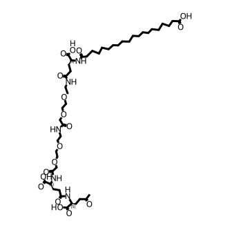 CC(=O)CC[C@H](NC(=O)CC[C@H](NC(=O)COCCOCCNC(=O)COCCOCCNC(=O)CC[C@H](NC(=O)CCCCCCCCCCCCCCCCCCC(=O)O)C(=O)O)C(=O)O)C(=O)O